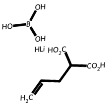 C=CCC(C(=O)O)C(=O)O.OB(O)O.[LiH]